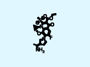 CCOC(=O)c1c(S(C)(=O)=O)n(C2CC2)c2c(OC)c(N3CC[C@@H]([C@H](C)N)C3)c(F)cc2c1=O